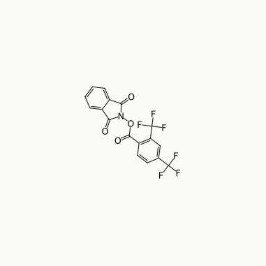 O=C(ON1C(=O)c2ccccc2C1=O)c1ccc(C(F)(F)F)cc1C(F)(F)F